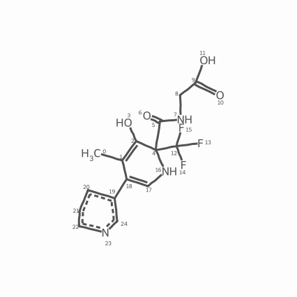 CC1=C(O)C(C(=O)NCC(=O)O)(C(F)(F)F)NC=C1c1cccnc1